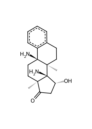 C[C@@]12CCc3ccccc3[C@@]1(N)CC[C@]1(C)C(=O)C[C@@H](O)[C@@]21N